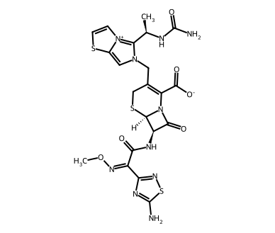 CO/N=C(\C(=O)N[C@@H]1C(=O)N2C(C(=O)[O-])=C(Cn3cc4scc[n+]4c3[C@@H](C)NC(N)=O)CS[C@H]12)c1nsc(N)n1